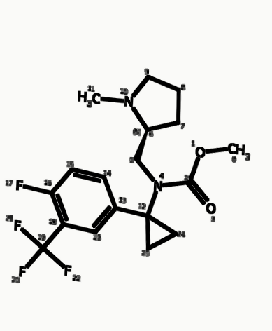 COC(=O)N(C[C@@H]1CCCN1C)C1(c2ccc(F)c(C(F)(F)F)c2)CC1